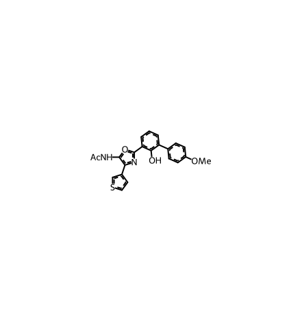 COc1ccc(-c2cccc(-c3nc(-c4ccsc4)c(NC(C)=O)o3)c2O)cc1